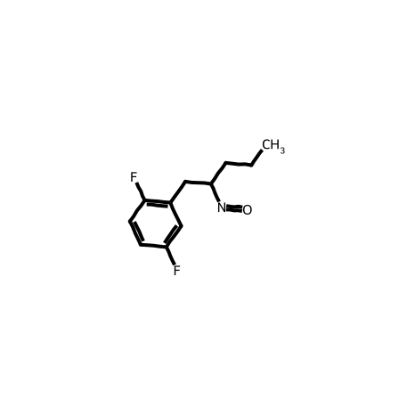 CCCC(Cc1cc(F)ccc1F)N=O